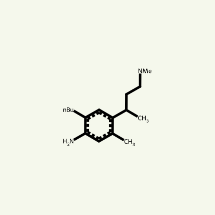 CCCCc1cc(C(C)CCNC)c(C)cc1N